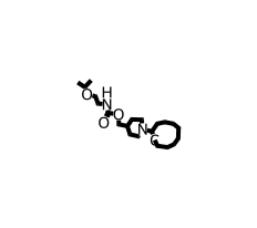 CC(C)OCCNC(=O)OCC1CCN(C2CCCCCCCCC2)CC1